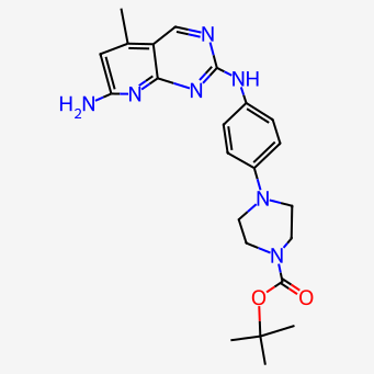 Cc1cc(N)nc2nc(Nc3ccc(N4CCN(C(=O)OC(C)(C)C)CC4)cc3)ncc12